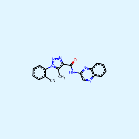 Cc1c(C(=O)Nc2cnc3ccccc3n2)nnn1-c1ccccc1C#N